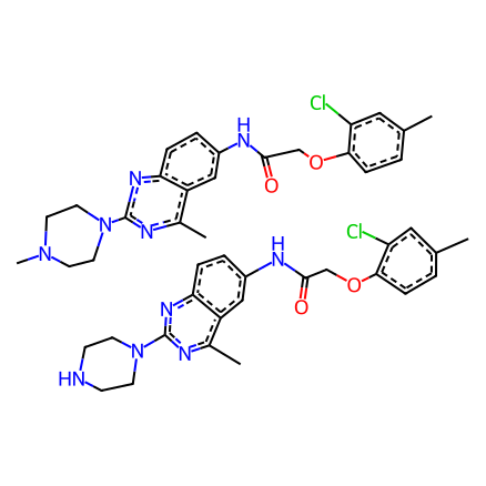 Cc1ccc(OCC(=O)Nc2ccc3nc(N4CCN(C)CC4)nc(C)c3c2)c(Cl)c1.Cc1ccc(OCC(=O)Nc2ccc3nc(N4CCNCC4)nc(C)c3c2)c(Cl)c1